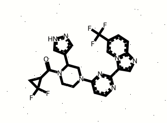 O=C(C1CC1(F)F)N1CCN(c2ccnc(-c3cnc4ccc(C(F)(F)F)cn34)n2)CC1c1cn[nH]c1